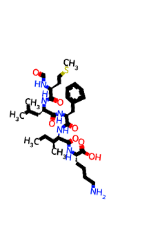 CC[C@H](C)[C@H](NC(=O)[C@H](Cc1ccccc1)NC(=O)[C@H](CC(C)C)NC(=O)[C@H](CCSC)NC=O)C(=O)N[C@@H](CCCCN)C(=O)O